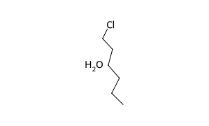 CCCCCCCl.O